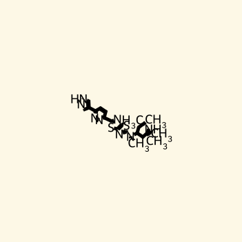 CN(c1nc2sc(-c3ccc(-c4cn[nH]c4)nn3)nc2s1)C1CC(C)(C)NC(C)(C)C1